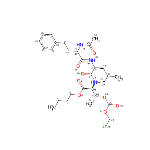 CCCCOC(=O)[C@@H](NC(=O)[C@H](CC(C)C)NC(=O)[C@H](CCc1ccccc1)NC(C)=O)[C@@H](C)OC(=O)OCCl